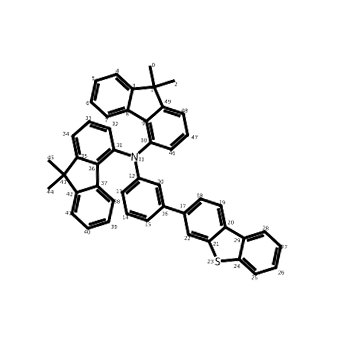 CC1(C)c2ccccc2-c2c(N(c3cccc(-c4ccc5c(c4)sc4ccccc45)c3)c3cccc4c3-c3ccccc3C4(C)C)cccc21